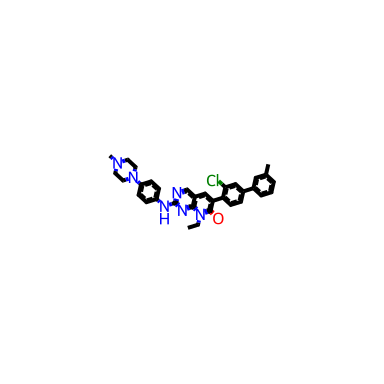 CCn1c(=O)c(-c2ccc(-c3cccc(C)c3)cc2Cl)cc2cnc(Nc3ccc(N4CCN(C)CC4)cc3)nc21